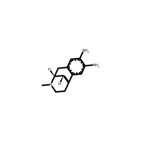 CN1CCC23CCCC[C@H]2[C@H]1Cc1cc(N)c(N)cc13